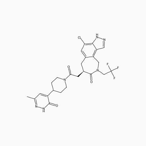 Cc1cc(C2CCN(C(=O)C[C@H]3Cc4cc(Cl)c5[nH]ncc5c4CN(CC(F)(F)F)C3=O)CC2)c(=O)[nH]n1